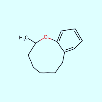 CC1CCCCCc2ccccc2O1